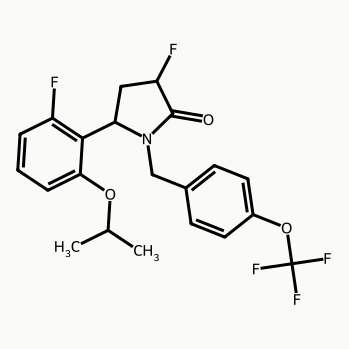 CC(C)Oc1cccc(F)c1C1CC(F)C(=O)N1Cc1ccc(OC(F)(F)F)cc1